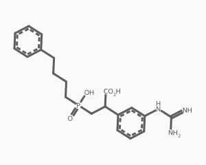 N=C(N)Nc1cccc(C(CP(=O)(O)CCCCc2ccccc2)C(=O)O)c1